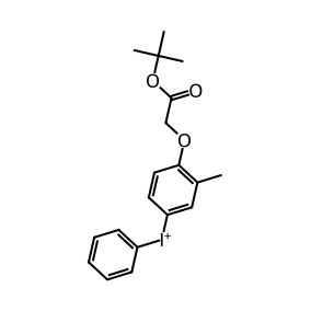 Cc1cc([I+]c2ccccc2)ccc1OCC(=O)OC(C)(C)C